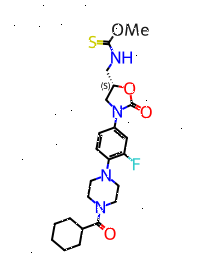 COC(=S)NC[C@H]1CN(c2ccc(N3CCN(C(=O)C4CCCCC4)CC3)c(F)c2)C(=O)O1